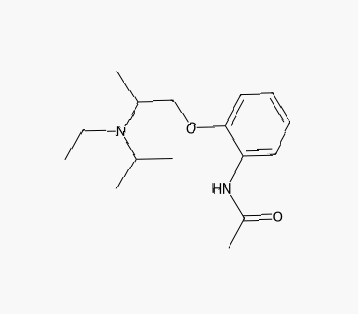 CCN(C(C)C)C(C)COc1ccccc1NC(C)=O